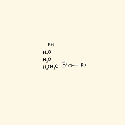 O.O.O.O.O.[Cl][Ru].[KH]